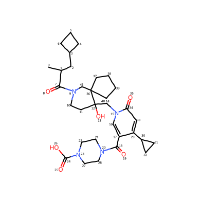 CC(CC1CCC1)C(=O)N1CCC(O)(Cn2cc(C(=O)N3CCN(C(=O)O)CC3)c(C3CC3)cc2=O)C2(CCCC2)C1